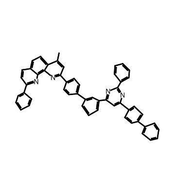 Cc1cc(-c2ccc(-c3cccc(-c4cc(-c5ccc(-c6ccccc6)cc5)nc(-c5ccccc5)n4)c3)cc2)nc2c1ccc1ccc(-c3ccccc3)nc12